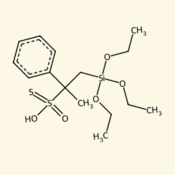 CCO[Si](CC(C)(c1ccccc1)S(=O)(O)=S)(OCC)OCC